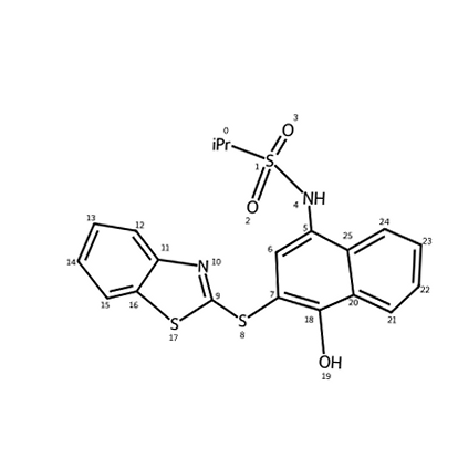 CC(C)S(=O)(=O)Nc1cc(Sc2nc3ccccc3s2)c(O)c2ccccc12